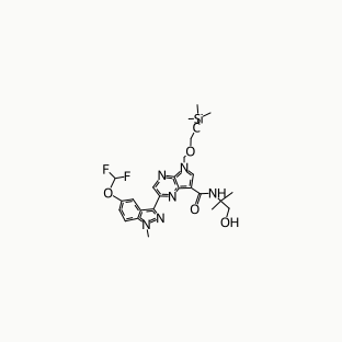 Cn1nc(-c2cnc3c(n2)c(C(=O)NC(C)(C)CO)cn3COCC[Si](C)(C)C)c2cc(OC(F)F)ccc21